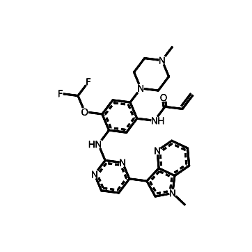 C=CC(=O)Nc1cc(Nc2nccc(-c3cn(C)c4cccnc34)n2)c(OC(F)F)cc1N1CCN(C)CC1